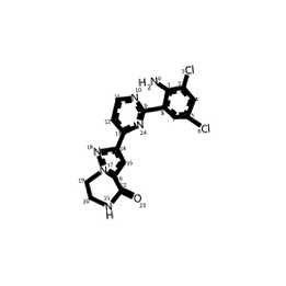 Nc1c(Cl)cc(Cl)cc1-c1nccc(-c2cc3n(n2)CCNC3=O)n1